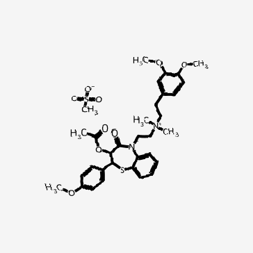 COc1ccc(C2Sc3ccccc3N(CC[N+](C)(C)CCc3ccc(OC)c(OC)c3)C(=O)C2OC(C)=O)cc1.CS(=O)(=O)[O-]